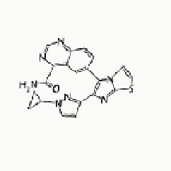 NC(=O)c1ncnc2ccc(-c3c(-c4ccn(C5CC5)n4)nc4sccn34)cc12